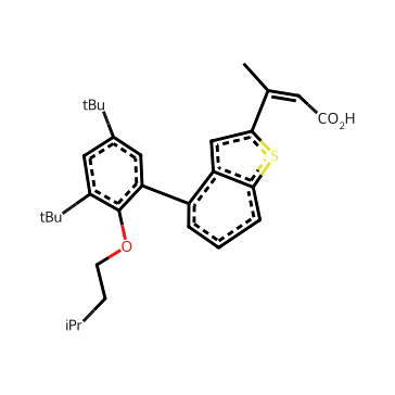 C/C(=C/C(=O)O)c1cc2c(-c3cc(C(C)(C)C)cc(C(C)(C)C)c3OCCC(C)C)cccc2s1